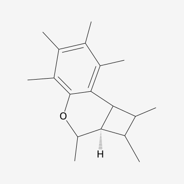 Cc1c(C)c(C)c2c(c1C)OC(C)[C@@H]1C(C)C(C)C21